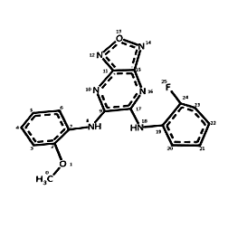 COc1ccccc1Nc1nc2nonc2nc1Nc1ccccc1F